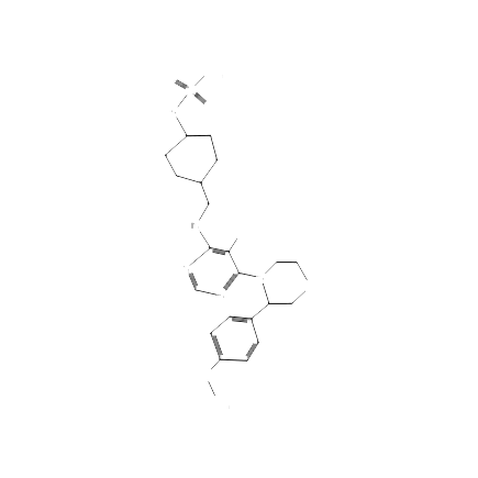 CS(=O)(=O)NC1CCC(CNc2ncnc(N3CCOCC3c3ccc(OC(F)(F)F)cc3)c2F)CC1